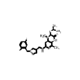 Cc1nc(NCc2cnn(Cc3cc(F)ccc3F)c2)cc2c1NC(=O)C(OC(C)C)N2C